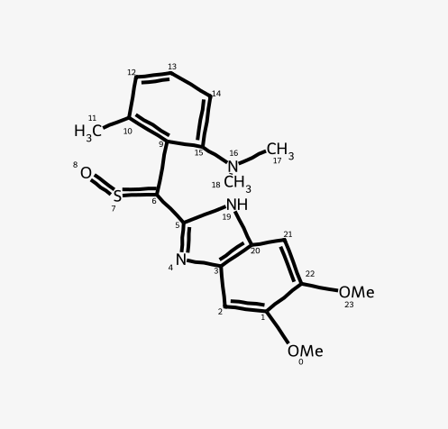 COc1cc2nc(C(=S=O)c3c(C)cccc3N(C)C)[nH]c2cc1OC